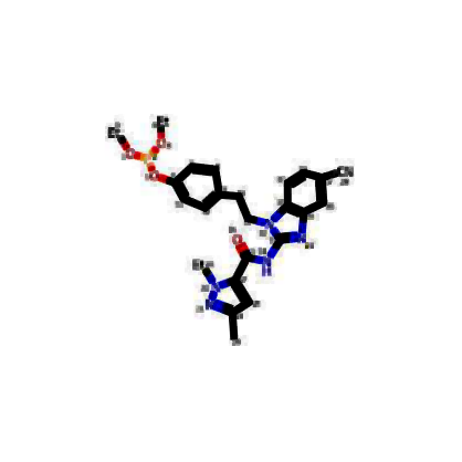 CCOP(OCC)Oc1ccc(CCn2c(NC(=O)c3cc(C)nn3CC)nc3cc(C#N)ccc32)cc1